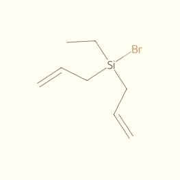 C=CC[Si](Br)(CC)CC=C